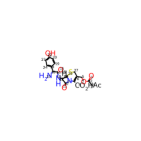 CC(=O)CC(=O)OCC1=C(C(=O)O)N2C(=O)[C@@H](NC(=O)C(N)c3ccc(O)cc3)[C@@H]2SC1